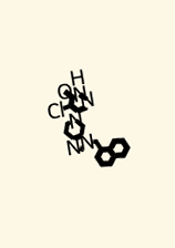 O=c1[nH]ncc(N2CCc3ncn(Cc4cccc5ccccc45)c3C2)c1Cl